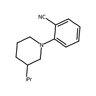 CC(C)C1CCCN(c2ccccc2C#N)C1